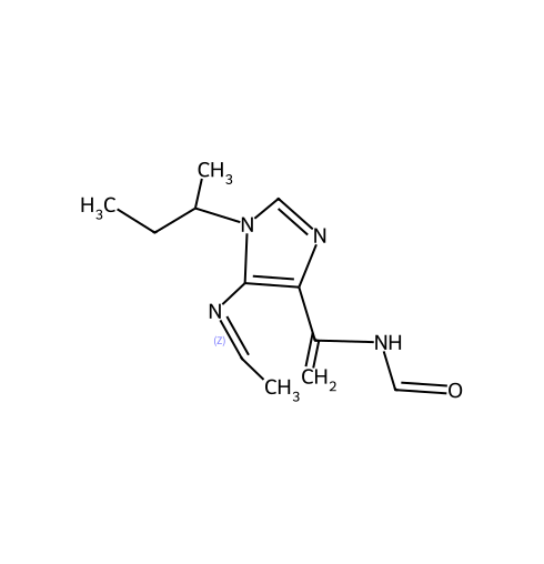 C=C(NC=O)c1ncn(C(C)CC)c1/N=C\C